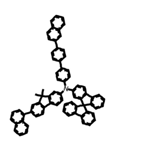 CC1(C)c2cc(-c3cccc4ccccc34)ccc2-c2ccc(N(c3ccc(-c4ccc(-c5ccc6ccccc6c5)cc4)cc3)c3ccc4c(c3)C3(c5ccccc5-c5ccccc53)c3ccccc3-4)cc21